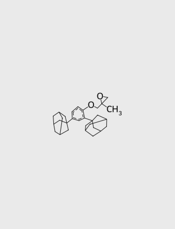 CC1(COc2ccc(C34CC5CC(CC(C5)C3)C4)cc2C23CC4CC(CC(C4)C2)C3)CO1